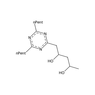 CCCCCc1nc(CCCCC)nc(CC(O)CC(C)O)n1